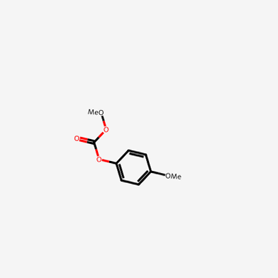 COOC(=O)Oc1ccc(OC)cc1